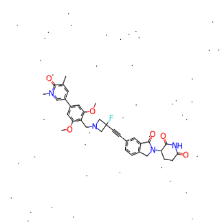 COc1cc(-c2cc(C)c(=O)n(C)c2)cc(OC)c1CN1CC(F)(C#Cc2ccc3c(c2)C(=O)N(C2CCC(=O)NC2=O)C3)C1